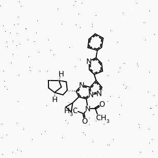 CC(=O)N(C(C)=O)c1c(C2CC2)c([C@H]2C[C@@H]3CC[C@@H](C3)C2)nc2c(-c3ccc(-c4ccccc4)nc3)cnn12